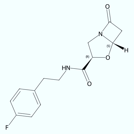 O=C(NCCc1ccc(F)cc1)[C@H]1CN2C(=O)C[C@@H]2O1